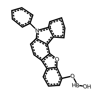 OBOc1cccc2c1oc1c2ccc2c1c1ccccc1n2-c1ccccc1